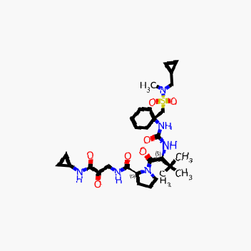 CN(CC1CC1)S(=O)(=O)CC1(NC(=O)N[C@H](C(=O)N2CCC[C@H]2C(=O)NCC(=O)C(=O)NC2CC2)C(C)(C)C)CCCCC1